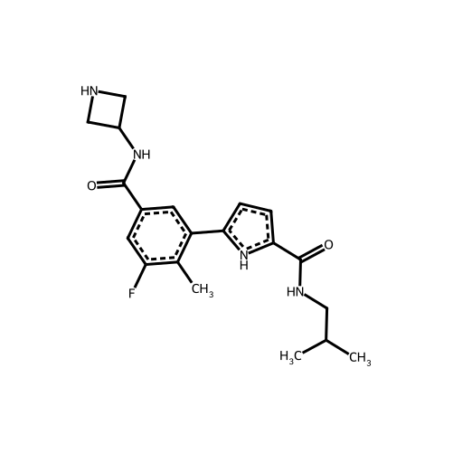 Cc1c(F)cc(C(=O)NC2CNC2)cc1-c1ccc(C(=O)NCC(C)C)[nH]1